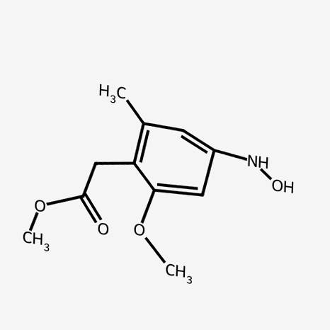 COC(=O)Cc1c(C)cc(NO)cc1OC